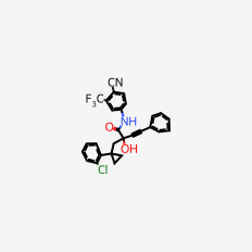 N#Cc1ccc(NC(=O)C(O)(C#Cc2ccccc2)CC2(c3ccccc3Cl)CC2)cc1C(F)(F)F